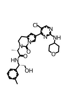 Cc1cccc([C@@H](CO)NC(=O)[C@H](C)N2CCc3cc(-c4nc(NC5CCOCC5)ncc4Cl)cn3C2=O)c1